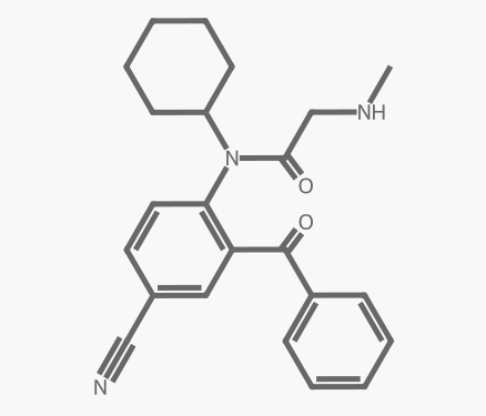 CNCC(=O)N(c1ccc(C#N)cc1C(=O)c1ccccc1)C1CCCCC1